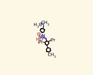 Cc1ccc(-c2cc(C(C)C)c(CC(O)N=S(N)(=O)c3ccc(CN(C)C)cc3)c(C(C)C)c2)cc1